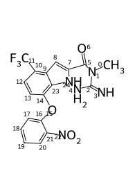 CN(C(=N)N)C(=O)c1cc2c(C(F)(F)F)ccc(Oc3ccccc3[N+](=O)[O-])c2[nH]1